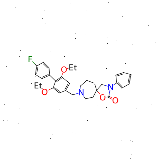 CCOc1cc(CN2CCCC3(CC2)CN(c2ccccc2)C(=O)O3)cc(OCC)c1-c1ccc(F)cc1